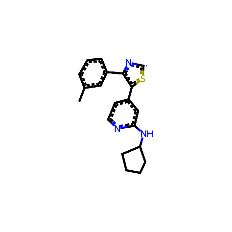 Cc1cccc(-c2n[c]sc2-c2ccnc(NC3CCCC3)c2)c1